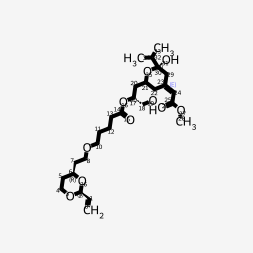 C=C[C@H]1OCC[C@@H](CCOCCCCC(=O)O[C@@H](CO)CC2C/C(=C\C(=O)OC)C[C@](O)(C(C)C)O2)O1